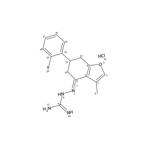 Cc1coc2c1/C(=N/NC(=N)N)CC(c1ccccc1F)C2.Cl